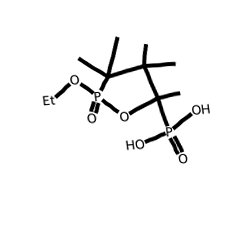 CCOP1(=O)OC(C)(P(=O)(O)O)C(C)(C)C1(C)C